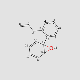 C=CCc1ccccc1C12C=CC=CC1O2